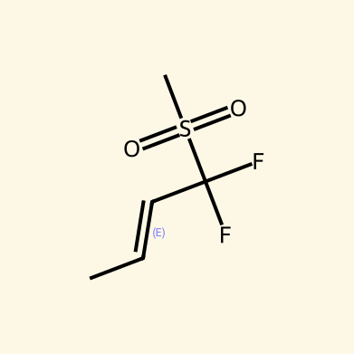 C/C=C/C(F)(F)S(C)(=O)=O